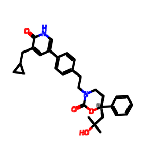 CC(C)(O)C[C@]1(c2ccccc2)CCN(CCc2ccc(-c3c[nH]c(=O)c(CC4CC4)c3)cc2)C(=O)O1